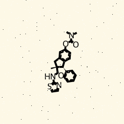 CN(C)C(=O)Oc1ccc2c(c1)C[C@@](C)(C(=O)Nc1nccs1)[C@H]2c1ccccc1